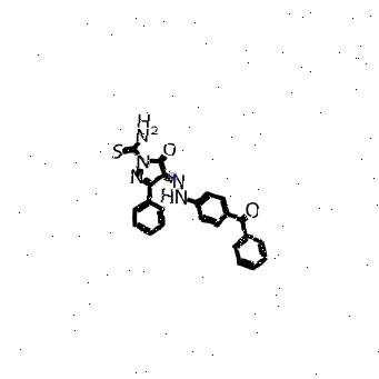 NC(=S)N1N=C(c2ccccc2)/C(=N\Nc2ccc(C(=O)c3ccccc3)cc2)C1=O